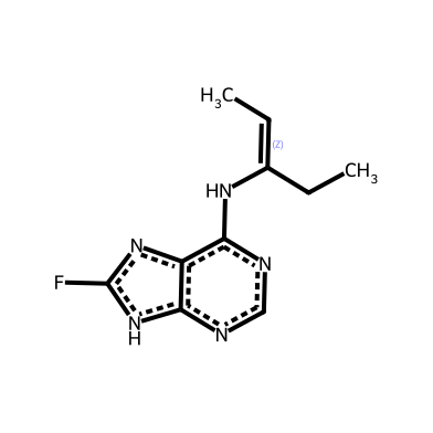 C/C=C(/CC)Nc1ncnc2[nH]c(F)nc12